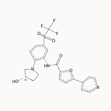 O=C(Nc1cc(S(=O)(=O)C(F)(F)F)ccc1N1CC[C@H](O)C1)c1ccc(-c2ccncc2)o1